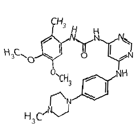 COc1cc(C)c(NC(=O)Nc2cc(Nc3ccc(N4CCN(C)CC4)cc3)ncn2)cc1OC